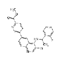 COC(=O)c1ccc(-c2ccc3ncc(Cl)c(NC(C)c4ccccc4F)c3c2)cn1